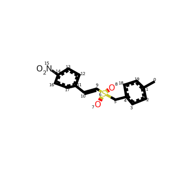 Cc1ccc(CS(=O)(=O)/C=C/c2ccc([N+](=O)[O-])cc2)cc1